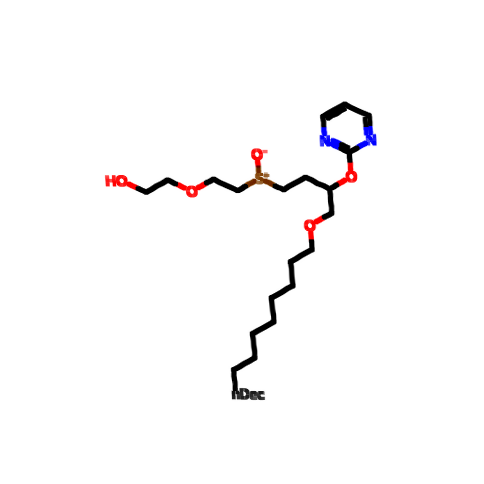 CCCCCCCCCCCCCCCCCCOCC(CC[S+]([O-])CCOCCO)Oc1ncccn1